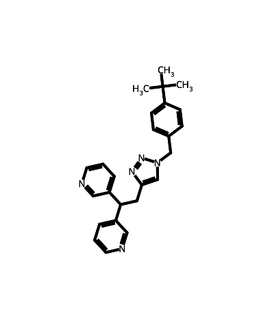 CC(C)(C)c1ccc(Cn2cc(CC(c3cccnc3)c3cccnc3)nn2)cc1